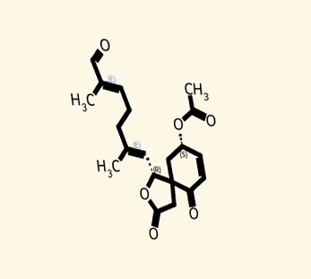 CC(=O)O[C@@H]1C=CC(=O)C2(CC(=O)O[C@@H]2/C=C(\C)CC/C=C(\C)C=O)C1